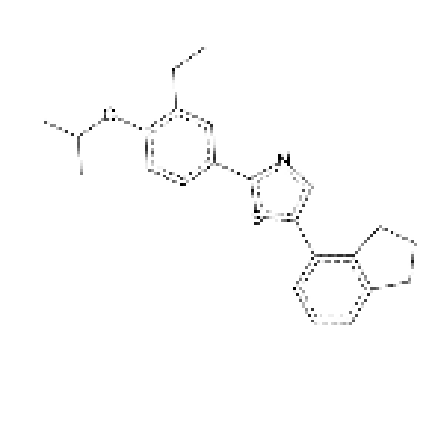 CCc1cc(-c2ncc(-c3cccc4c3CCC4)s2)ccc1OC(C)C